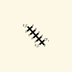 FC(F)(F)C(F)(F)C(F)(F)C(F)(F)C(F)(F)C(F)(C(F)(F)F)C(F)(F)F